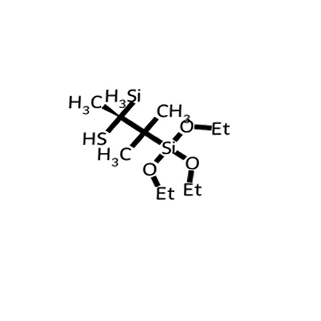 CCO[Si](OCC)(OCC)C(C)(C)[C@@](C)([SiH3])S